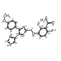 COc1ccc(-c2nc(COc3ccc(F)c(C(N)=O)c3F)sc2-c2cscn2)cc1